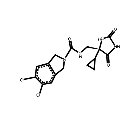 O=C1NC(=O)[C@](CNC(=O)N2Cc3cc(Cl)c(Cl)cc3C2)(C2CC2)N1